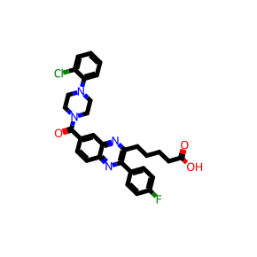 O=C(O)CCCCc1nc2cc(C(=O)N3CCN(c4ccccc4Cl)CC3)ccc2nc1-c1ccc(F)cc1